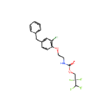 O=C(NCCOc1ccc(Cc2ccccc2)cc1Cl)OCC(F)(F)C(F)F